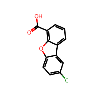 O=C(O)c1cccc2c1oc1ccc(Cl)cc12